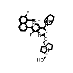 C#Cc1c(F)ccc2cccc(-c3ncc4c(N5CC6CCC(C5)N6)nc(OC[C@@]56CCCN5[C@H](CO)CC6)nc4c3F)c12